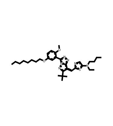 CCCCCCCCOc1ccc(OC)c(-c2nnc3/c(=C\c4ncc(N(CC)CCCC)s4)c(C(C)(C)C)nn23)c1